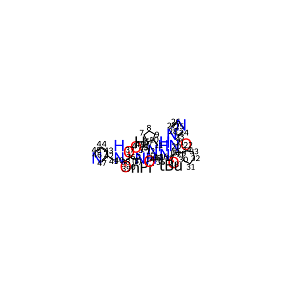 CCC[C@H](NC(=O)[C@@H]1[C@H]2CCCC2CN1C(=O)[C@@H](NC(=O)[C@@H](NC(=O)c1cnccn1)C1CCCCC1)C(C)(C)C)C(=O)C(=O)NCc1cccnc1